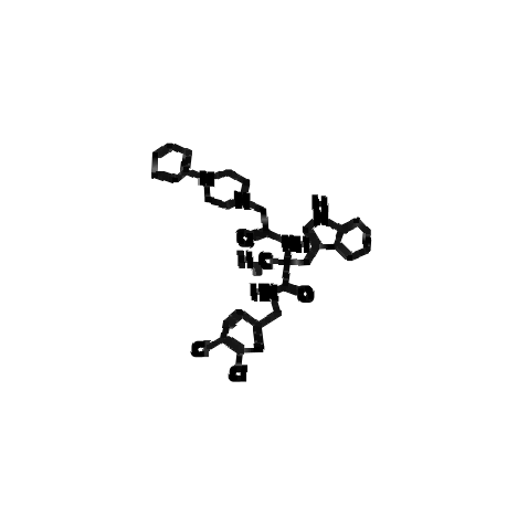 CC(Cc1c[nH]c2ccccc12)(NC(=O)CN1CCN(c2ccccc2)CC1)C(=O)NCc1ccc(Cl)c(Cl)c1